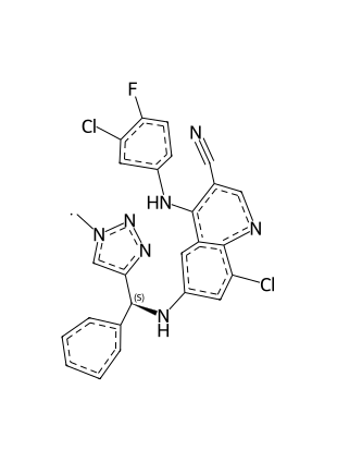 [CH2]n1cc([C@@H](Nc2cc(Cl)c3ncc(C#N)c(Nc4ccc(F)c(Cl)c4)c3c2)c2ccccc2)nn1